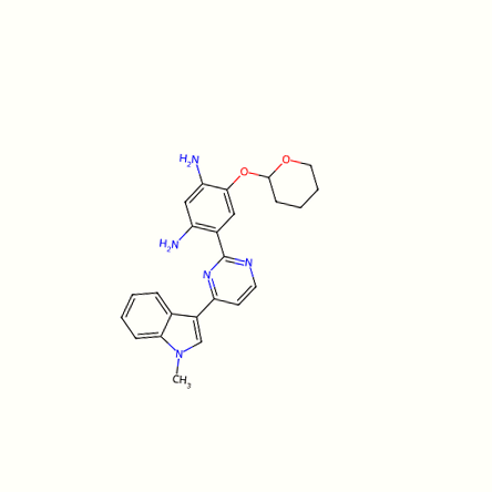 Cn1cc(-c2ccnc(-c3cc(OC4CCCCO4)c(N)cc3N)n2)c2ccccc21